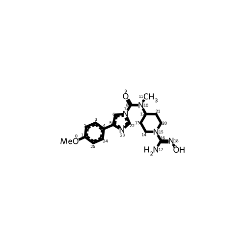 COc1ccc(-c2cn(C(=O)N(C)C3CCN(/C(N)=N/O)CC3)cn2)cc1